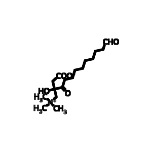 C[N+](C)(C)CC(O)(CC(=O)[O-])C(=O)CCCCCCCCC=O